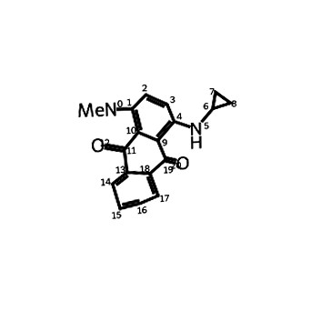 CNc1ccc(NC2CC2)c2c1C(=O)c1ccccc1C2=O